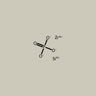 O=P([O-])([O-])[O-].[Si+4].[Zr+4]